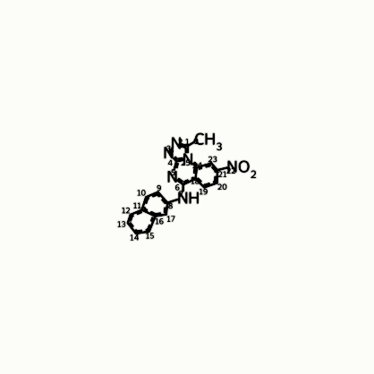 Cc1nnc2nc(Nc3ccc4ccccc4c3)c3ccc([N+](=O)[O-])cc3n12